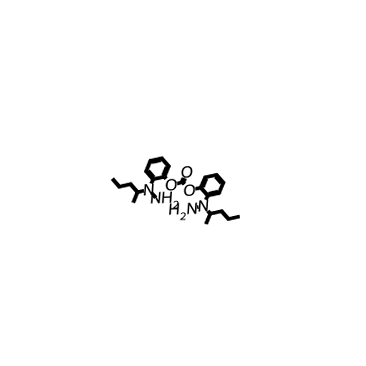 CCCC(C)N(N)c1ccccc1OC(=O)Oc1ccccc1N(N)C(C)CCC